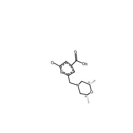 C[C@@H]1CN(Cc2cc(C(=O)O)cc(Cl)n2)C[C@H](C)O1